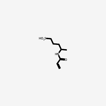 C=CC(=O)NC(C)CCCS(=O)(=O)O